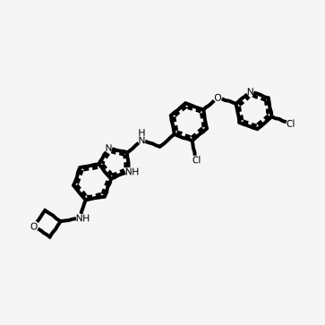 Clc1ccc(Oc2ccc(CNc3nc4ccc(NC5COC5)cc4[nH]3)c(Cl)c2)nc1